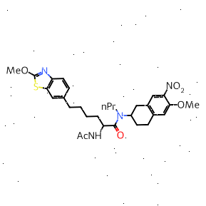 CCCN(C(=O)C(CCCCc1ccc2nc(OC)sc2c1)NC(C)=O)C1CCc2cc(OC)c([N+](=O)[O-])cc2C1